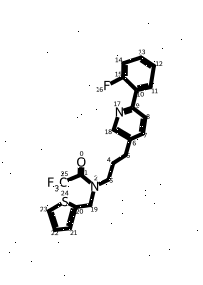 O=C(N(CCCc1ccc(-c2ccccc2F)nc1)Cc1cccs1)C(F)(F)F